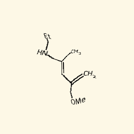 C=C(/C=C(\C)NCC)OC